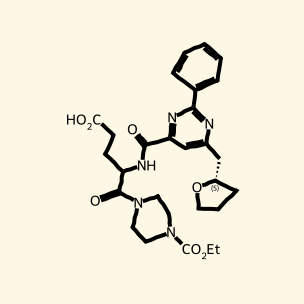 CCOC(=O)N1CCN(C(=O)C(CCC(=O)O)NC(=O)c2cc(C[C@@H]3CCCO3)nc(-c3ccccc3)n2)CC1